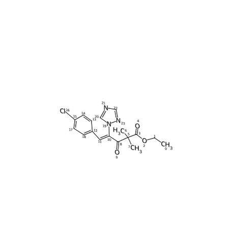 CCOC(=O)C(C)(C)C(=O)/C(=C/c1ccc(Cl)cc1)n1cncn1